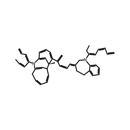 C=C/C=C\C=C(/CC)N1C/C(=C/C=C\C(=C)C2=CC=CC3=C[C@@]2(C)C2C=C(C/C=C\C=C/2)N3C(/C=C\C)=C/C=C)CCc2ccccc21